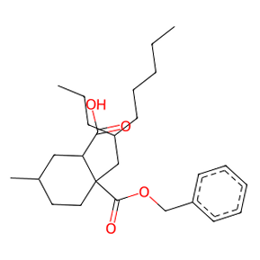 CCCCCC(CCC)CC1(C(=O)OCc2ccccc2)CCC(C)CC1C(=O)O